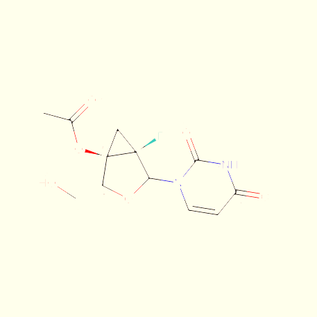 CC(=O)O[C@@]12C[C@]1(F)C(n1ccc(=O)[nH]c1=O)O[C@@H]2CO